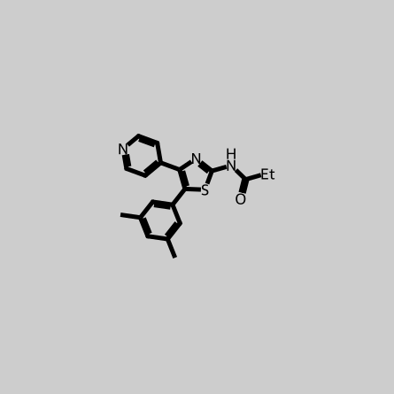 CCC(=O)Nc1nc(-c2ccncc2)c(-c2cc(C)cc(C)c2)s1